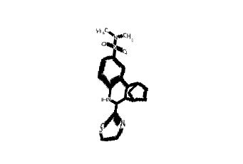 CN(C)S(=O)(=O)c1ccc2c(c1)C1C3CCC(C3)C1C(c1nccs1)N2